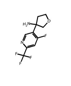 NC1(c2cnc(C(F)(F)F)cc2F)CCOC1